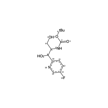 CC(C)(C)OC(=O)NC(CO)C(O)c1ccc(F)cn1